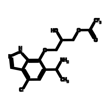 CC(N)c1cc(Cl)c2cn[nH]c2c1OCC(O)COC(=O)C(F)(F)F